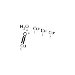 O.[Cu].[Cu].[Cu].[O]=[Cu]